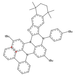 CC(C)(C)c1ccc(N2c3cc(C(C)(C)C)cc4c3B(c3cc(C(C)(C)C)ccc3N4c3ccccc3-c3ccccc3)c3oc4cc5c(cc4c32)C(C)(C)CCC5(C)C)cc1